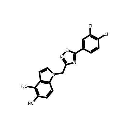 N#Cc1ccc2c(ccn2Cc2noc(-c3ccc(Cl)c(Cl)c3)n2)c1C(F)(F)F